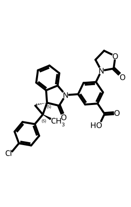 C[C@@]1(c2ccc(Cl)cc2)C[C@]12C(=O)N(c1cc(C(=O)O)cc(N3CCOC3=O)c1)c1ccccc12